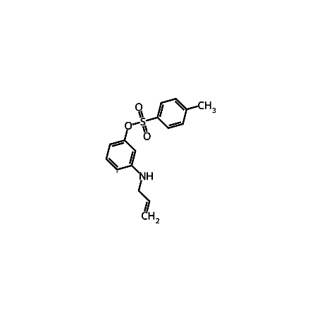 C=CCNc1[c]ccc(OS(=O)(=O)c2ccc(C)cc2)c1